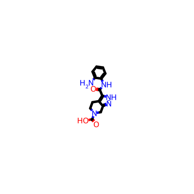 Nc1ccccc1NC(=O)c1[nH]nc2c1CCN(C(=O)O)C2